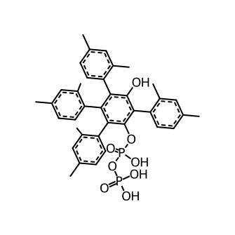 Cc1ccc(-c2c(O)c(-c3ccc(C)cc3C)c(-c3ccc(C)cc3C)c(-c3ccc(C)cc3C)c2OP(=O)(O)OP(=O)(O)O)c(C)c1